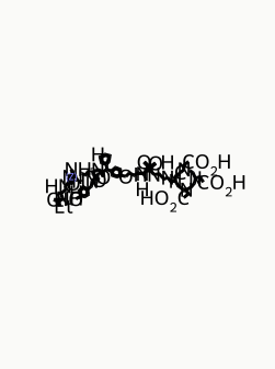 CCC(=O)NCCNC(=O)/N=C(/N)NCCC[C@@H](NC(=O)C(c1ccccc1)c1ccc(OCCCNc2c(NCCNCN3CCN(CC(=O)O)CCN(CC(=O)O)CCN(CC(=O)O)CC3)c(=O)c2=O)cc1)C(=O)NCc1ccc(O)cc1